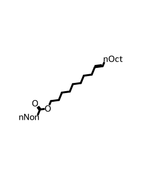 CCCCCCCCC=CCCCCCCCCOC(=O)CCCCCCCCC